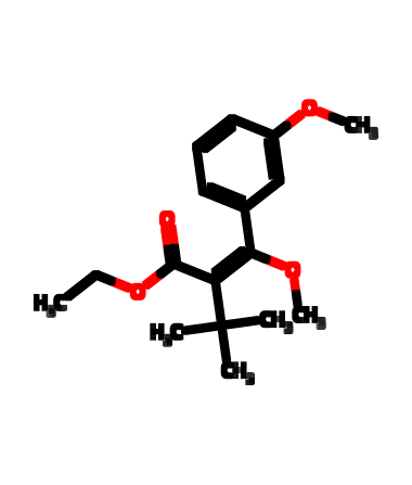 CCOC(=O)C(=C(OC)c1cccc(OC)c1)C(C)(C)C